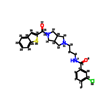 Cc1ccc(C(=O)NCCCN2CC3CN(C(=O)c4cc5ccccc5s4)CC3C2)cc1Cl